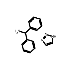 NC(c1ccccc1)c1ccccc1.c1c[nH]nn1